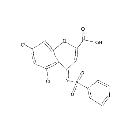 O=C(O)c1cc(=NS(=O)(=O)c2ccccc2)c2c(Cl)cc(Cl)cc2o1